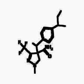 CCC(C)c1ccc(C(C)C2(C(N)=O)CN(C)N=C2C(F)(F)F)cc1